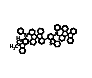 CC1(C)c2ccccc2-c2ccc(N(c3ccccc3)c3cccc4c3-c3ccccc3C43c4ccccc4-c4c(-c5ccc(N(c6ccccc6)c6cccc7c6-c6ccccc6C76c7ccccc7-c7ccccc76)c6c5sc5ccccc56)cccc43)cc21